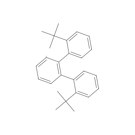 CC(C)(C)c1ccccc1-c1[c]cccc1-c1ccccc1C(C)(C)C